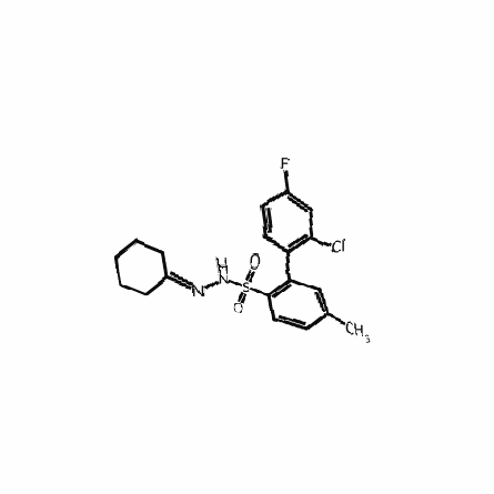 Cc1ccc(S(=O)(=O)NN=C2CCCCC2)c(-c2ccc(F)cc2Cl)c1